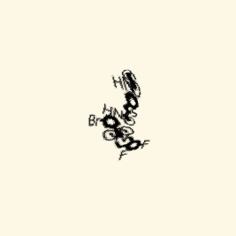 CS(=O)(=O)Nc1ccc2sc(C(=O)Nc3cc(Br)cc(S(=O)(=O)N4CCc5c(F)cc(F)cc5C4)c3)cc2c1